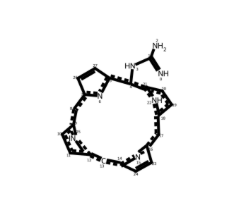 N=C(N)Nc1c2nc(cc3ccc(cc4nc(cc5ccc1[nH]5)C=C4)[nH]3)C=C2